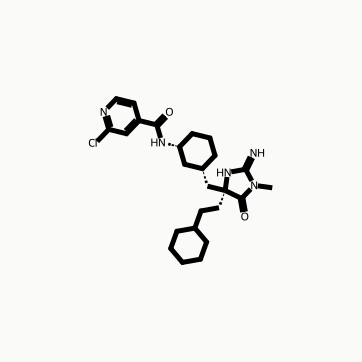 CN1C(=N)N[C@](CCC2CCCCC2)(C[C@H]2CCC[C@@H](NC(=O)c3ccnc(Cl)c3)C2)C1=O